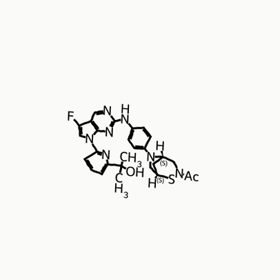 CC(=O)N1C[C@@H]2C[C@@H](CN2c2ccc(Nc3ncc4c(F)cn(-c5cccc(C(C)(C)O)n5)c4n3)cc2)S1